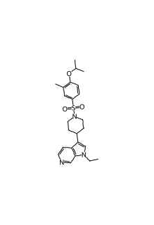 CCn1cc(C2CCN(S(=O)(=O)c3ccc(OC(C)C)c(C)c3)CC2)c2ccncc21